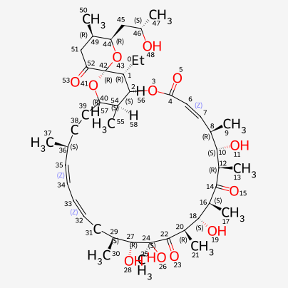 CC[C@@H]1[C@H]2OC(=O)/C=C\[C@@H](C)[C@H](O)[C@@H](C)C(=O)[C@@H](C)[C@H](O)[C@@H](C)C(=O)[C@@](C)(O)[C@H](O)[C@@H](C)C/C=C\C=C/[C@@H](C)CC[C@@H](O[C@]13O[C@H](C[C@H](C)O)[C@H](C)CC3=O)[C@@H]2C